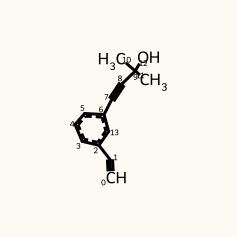 C#Cc1cccc(C#CC(C)(C)O)c1